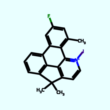 Cc1cc(F)cc2c3cccc4c3c3c(cc[n+](I)c3c12)C4(C)C